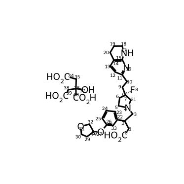 O=C(O)CC(CN1CC[C@@](F)(CCc2ccc3c(n2)NCCC3)C1)c1cccc(O[C@H]2CCOC2)c1.O=C(O)CC(O)(CC(=O)O)C(=O)O